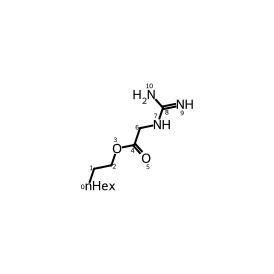 CCCCCCCCOC(=O)CNC(=N)N